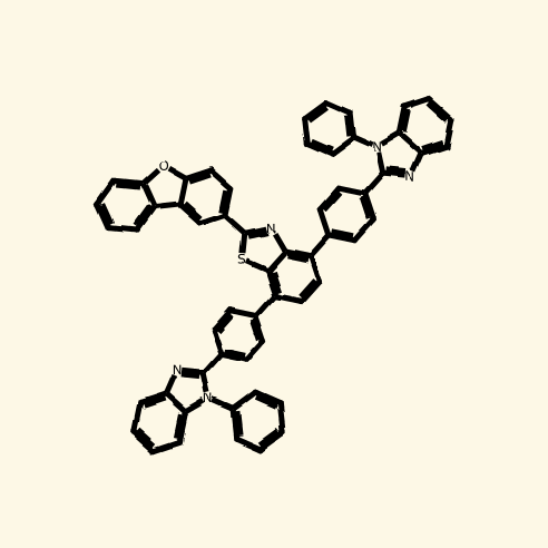 c1ccc(-n2c(-c3ccc(-c4ccc(-c5ccc(-c6nc7ccccc7n6-c6ccccc6)cc5)c5sc(-c6ccc7oc8ccccc8c7c6)nc45)cc3)nc3ccccc32)cc1